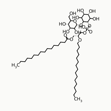 CCCCCCCCCCCCCCCCO[C@H](COC(=O)CCCCCCCCCCCCCCC)COP(=O)(O)O[C@@H]1C(O[C@H]2OC(CO)[C@@H](O)[C@H](O)C2O)C(O)[C@@H](O)[C@H](O)C1O